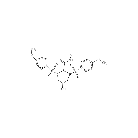 COc1ccc(S(=O)(=O)N2CC(O)CN(S(=O)(=O)c3ccc(OC)cc3)C2C(=O)NO)cc1